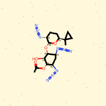 CC(=O)O[C@@H]1[C@@H](O)[C@H](O[C@H]2O[C@H](C3(C)CC3)CC[C@H]2N=[N+]=[N-])[C@@H](N=[N+]=[N-])C[C@H]1N=[N+]=[N-]